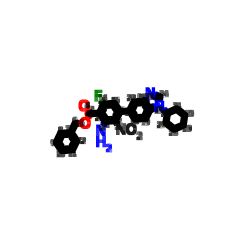 Nc1c(C(=O)OCc2ccccc2)c(F)cc(-c2ccc3c(c2)ncn3C2CCCCC2)c1[N+](=O)[O-]